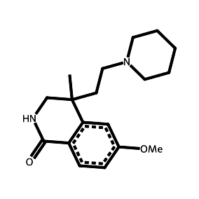 COc1ccc2c(c1)C(C)(CCN1CCCCC1)CNC2=O